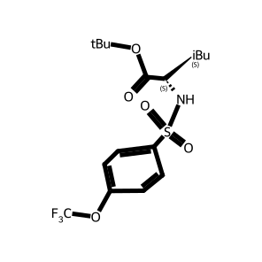 CC[C@H](C)[C@H](NS(=O)(=O)c1ccc(OC(F)(F)F)cc1)C(=O)OC(C)(C)C